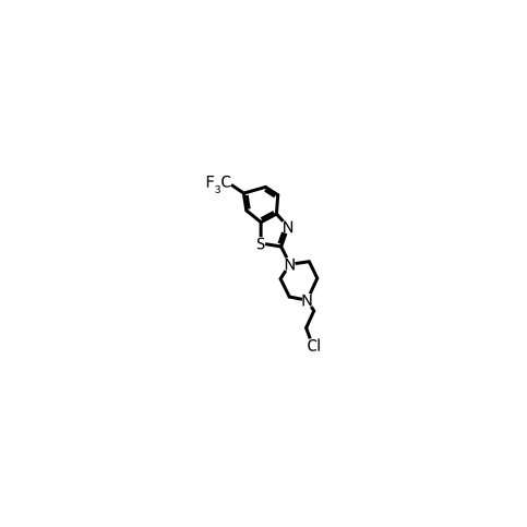 FC(F)(F)c1ccc2nc(N3CCN(CCCl)CC3)sc2c1